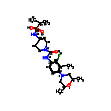 Cc1c(N2CC(C)OC(C)C2)ccc(NC(=O)N2CCC(NS(=O)(=O)C(C)C)CC2)c1F